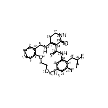 COCCOc1cnccc1CNC1=C(C(=S)Nc2cccc(F)c2CC(F)F)C(=O)NCC1